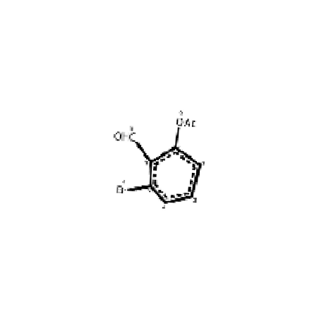 CC(=O)Oc1cccc(Br)c1C=O